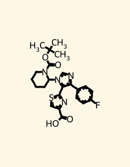 CC(C)(C)OC(=O)N1CCCCC1n1cnc(-c2ccc(F)cc2)c1-c1nc(C(=O)O)cs1